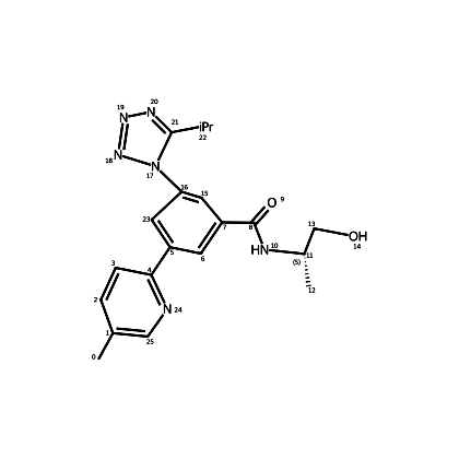 Cc1ccc(-c2cc(C(=O)N[C@@H](C)CO)cc(-n3nnnc3C(C)C)c2)nc1